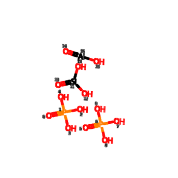 O=P(O)(O)O.O=P(O)(O)O.O=[Si](O)O.[O]=[Al][OH]